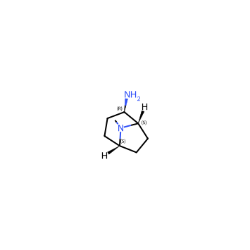 CN1[C@H]2CC[C@@H](N)[C@@H]1CC2